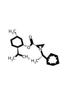 CC(C)[C@H]1CC[C@H](C)C[C@@H]1OC(=O)[C@@H]1CN1[C@@H](C)c1ccccc1